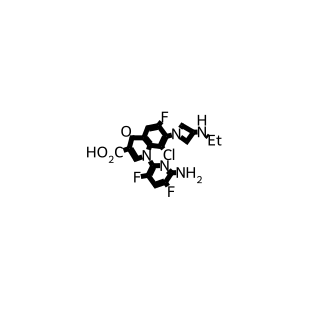 CCNC1CN(c2c(F)cc3c(=O)c(C(=O)O)cn(-c4nc(N)c(F)cc4F)c3c2Cl)C1